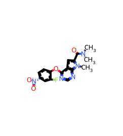 CN(C)C(=O)c1cc2c(Oc3ccc([N+](=O)[O-])cc3F)ncnc2n1C